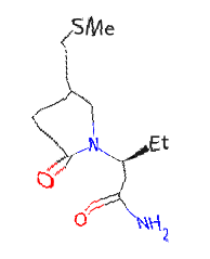 CC[C@@H](C(N)=O)N1CC(CSC)CC1=O